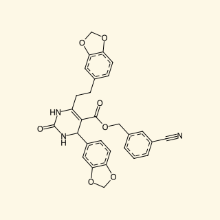 N#Cc1cccc(COC(=O)C2=C(CCc3ccc4c(c3)OCO4)NC(=O)NC2c2ccc3c(c2)OCO3)c1